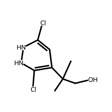 CC(C)(CO)C1=C(Cl)NNC(Cl)=C1